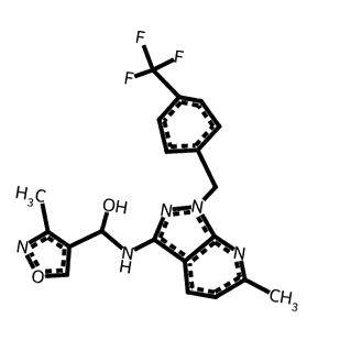 Cc1ccc2c(NC(O)c3conc3C)nn(Cc3ccc(C(F)(F)F)cc3)c2n1